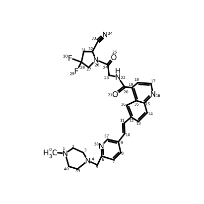 CN1CCN(Cc2ccc(/C=C/c3ccc4nccc(C(=O)NCC(=O)N5CC(F)(F)CC5C#N)c4c3)cn2)CC1